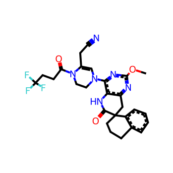 COc1nc2c(c(N3C=C(CC#N)N(C(=O)CCC(F)(F)F)CC3)n1)NC(=O)C1(CCCc3ccccc31)C2